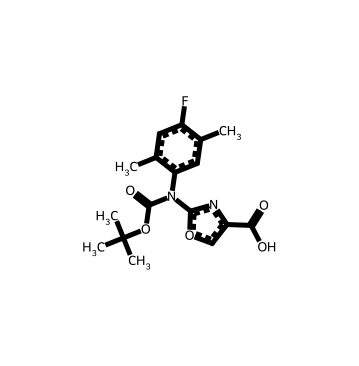 Cc1cc(N(C(=O)OC(C)(C)C)c2nc(C(=O)O)co2)c(C)cc1F